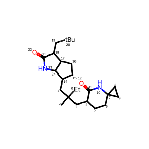 CCC(C)(CC1CCC2(CC2)NC1=O)CC1CCC2C(CC(C)(C)C)C(=O)NC12